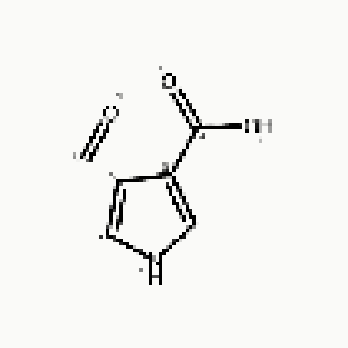 C=O.O=C(O)c1cc[nH]c1